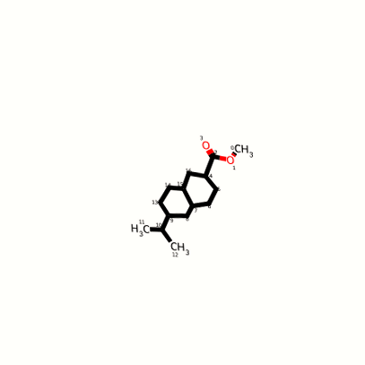 COC(=O)C1CCC2CC(C(C)C)CCC2C1